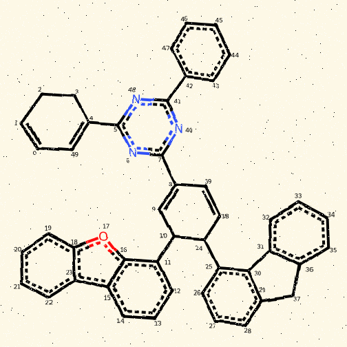 C1=CCCC(c2nc(C3=CC(c4cccc5c4oc4ccccc45)C(c4cccc5c4-c4ccccc4C5)C=C3)nc(-c3ccccc3)n2)=C1